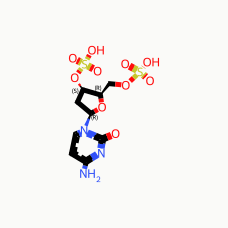 Nc1ccn([C@H]2C[C@H](OS(=O)(=O)O)[C@@H](COS(=O)(=O)O)O2)c(=O)n1